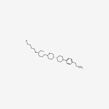 CCCc1ccc(C2CCC([C@H]3CC[C@H]([C@H]4CC[C@H](CCCCCF)CC4)CC3)CC2)cc1